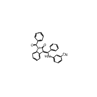 N#Cc1cccc(NC(=C2C(=O)N(C(=O)c3ccccc3)c3ccccc32)c2ccccc2)c1